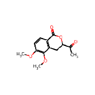 COc1ccc2c(c1OC)CC(C(C)=O)OC2=O